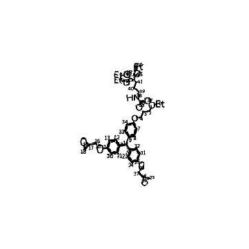 CCOCC(COc1ccc(C(c2ccc(OCC3CO3)cc2)c2ccc(OCC3CO3)cc2)cc1)OC(=O)NCCC[Si](OCC)(OCC)OCC